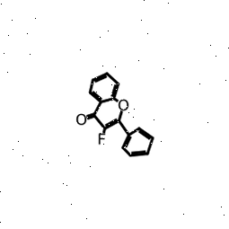 O=c1c(F)c(-c2ccccc2)oc2ccccc12